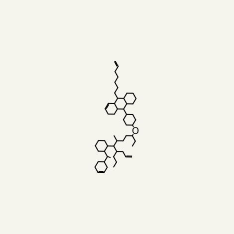 C=CCCCCCC1C2C=CCCC2C(C2CCC(OC(CC)CCC(C)C(C(CC=C)CCC)C3CCCCC3C(C)C3CC=CCC3)CC2)C2CCCCC12